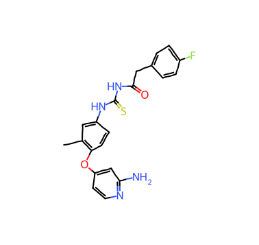 Cc1cc(NC(=S)NC(=O)Cc2ccc(F)cc2)ccc1Oc1ccnc(N)c1